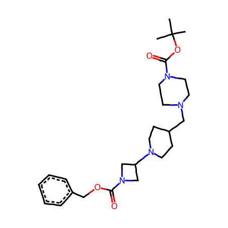 CC(C)(C)OC(=O)N1CCN(CC2CCN(C3CN(C(=O)OCc4ccccc4)C3)CC2)CC1